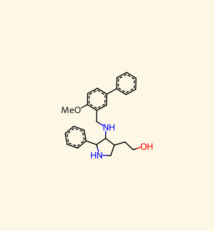 COc1ccc(-c2ccccc2)cc1CNC1C(CCO)CNC1c1ccccc1